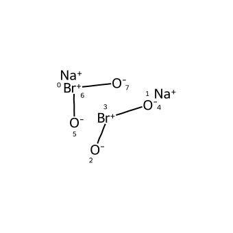 [Na+].[Na+].[O-][Br+][O-].[O-][Br+][O-]